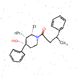 CCC[C@@H]1[C@H](CC)N(C(=O)CC(C)c2ccccc2)CC[C@@]1(O)c1ccccc1